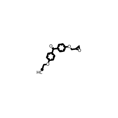 C#CCOc1ccc(C(=O)c2ccc(OCC3CO3)cc2)cc1